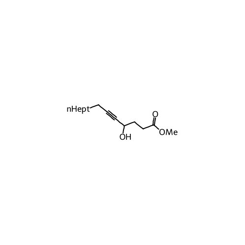 CCCCCCCCC#CC(O)CCC(=O)OC